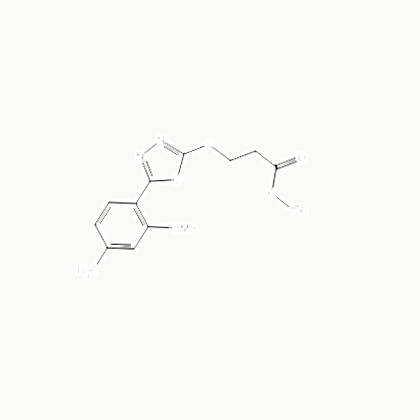 COc1cc(C)ccc1-c1nnc(SCCC(=O)OC(C)(C)C)o1